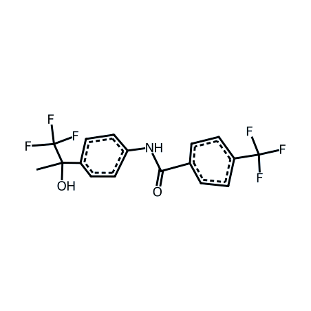 CC(O)(c1ccc(NC(=O)c2ccc(C(F)(F)F)cc2)cc1)C(F)(F)F